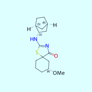 CO[C@@H]1CCCC2(C1)SC(N[C@H]1C[C@@H]3CC[C@H]1C3)=NC2=O